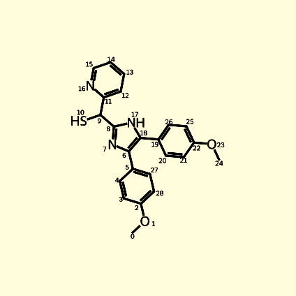 COc1ccc(-c2nc(C(S)c3ccccn3)[nH]c2-c2ccc(OC)cc2)cc1